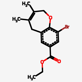 CCOC(=O)c1cc(Br)c2c(c1)CC(C)=C(C)CO2